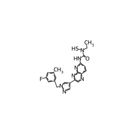 CCN(S)C(=O)Nc1ccc2ncc(-c3cnn(Cc4cc(C)cc(F)c4)c3)nc2n1